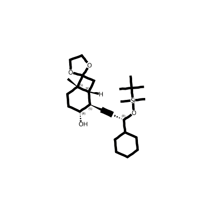 CC(C)(C)[Si](C)(C)O[C@@H](C#C[C@H]1[C@H](O)CC[C@@]2(C)[C@@H]1CC21OCCO1)C1CCCCC1